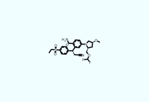 CCS(=O)(=O)c1ccc([C@H](CC#N)c2cc(N3C[C@@H](OC)C[C@H]3COC(F)F)ccc2C(N)=O)cc1